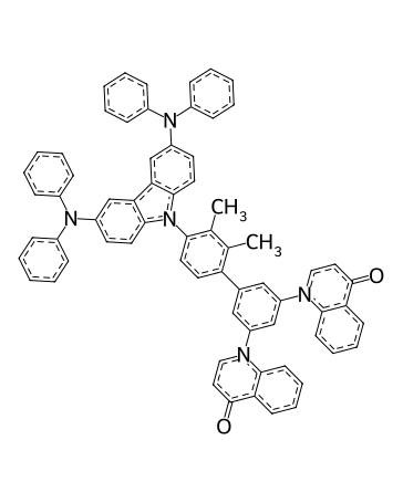 Cc1c(-c2cc(-n3ccc(=O)c4ccccc43)cc(-n3ccc(=O)c4ccccc43)c2)ccc(-n2c3ccc(N(c4ccccc4)c4ccccc4)cc3c3cc(N(c4ccccc4)c4ccccc4)ccc32)c1C